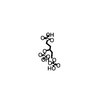 O=S(=O)(O)CCC(CCOS(=O)(=O)O)OS(=O)(=O)O